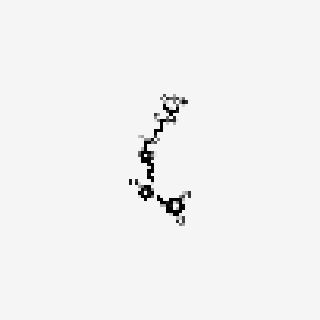 O=C(CCOC(=O)c1ccc(CCC[C@@H]2[C@@H](CCc3cc(Cl)cc(Cl)c3)CC[C@H]2Cl)s1)NC(CO)CO